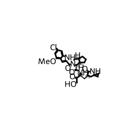 COc1cc(Cl)cc2[nH]c(C(=O)N3C[C@@H]4CCC[C@@H]4[C@H]3C(=O)N[C@@H](C[C@@H]3CC4(CC4)NC3=O)C(=O)CO)cc12